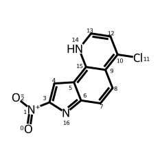 O=[N+]([O-])c1cc2c(ccc3c(Cl)cc[nH]c32)n1